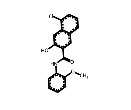 COc1ccccc1NC(=O)c1cc2cccc(Cl)c2cc1O